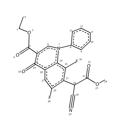 CCOC(=O)c1cn(-c2ccccc2)c2c(F)c(C(C#N)C(=O)OC)c(F)cc2c1=O